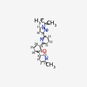 Cc1ccc2c(n1)oc1c(-c3cccc(-c4ccn(C(C)C)n4)n3)cccc12